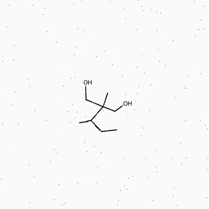 CCC(C)C(C)(CO)CO